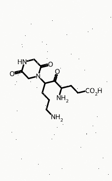 NCCCC(C(=O)C(N)CCC(=O)O)N1CC(=O)NCC1=O